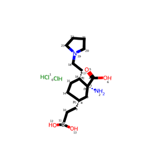 Cl.Cl.N[C@]1(C(=O)O)C[C@H](CCB(O)O)CC[C@@H]1CCN1CCCC1